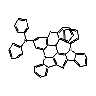 c1ccc(N(c2ccccc2)c2cc3c4c(c2)-n2c5ccccc5c5cc6c7ccccc7n(-c7ccccc7)c6c(c52)B4c2ccccc2O3)cc1